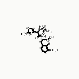 Nc1nc(C(NS(N)(=O)=O)C(=O)N[C@H]2Cc3cccc(C(=O)O)c3OB2O)cs1